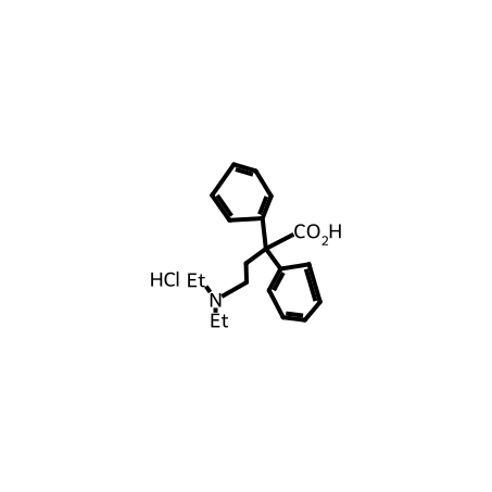 CCN(CC)CCC(C(=O)O)(c1ccccc1)c1ccccc1.Cl